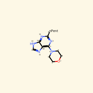 CCCCCc1nc(N2CCOCC2)c2nc[nH]c2n1